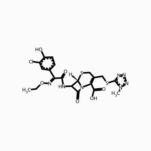 CCON=C(C(=O)NC1C(=O)N2C(C(=O)O)=C(CSc3nnnn3C)CS[C@@H]12)c1ccc(O)c(Cl)c1